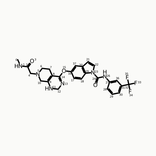 CNC(=O)CN1CCC2=C(C1)NCN=C2Oc1ccc2c(ccn2C(=O)Nc2cccc(C(F)(F)F)c2)c1